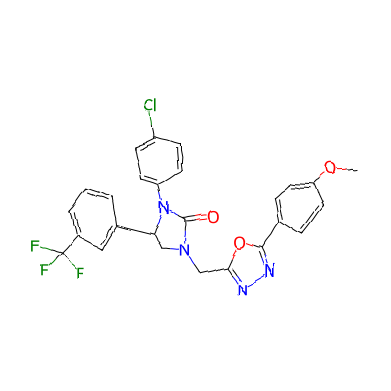 COc1ccc(-c2nnc(CN3CC(c4cccc(C(F)(F)F)c4)N(c4ccc(Cl)cc4)C3=O)o2)cc1